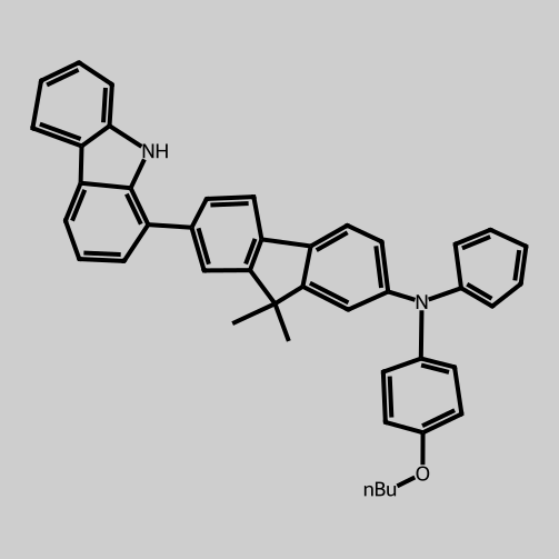 CCCCOc1ccc(N(c2ccccc2)c2ccc3c(c2)C(C)(C)c2cc(-c4cccc5c4[nH]c4ccccc45)ccc2-3)cc1